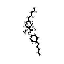 CCCCCC1CCC(OC(=O)[C@]2(C#N)CO[C@H](CCCCC)OC2)CC1